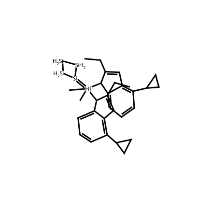 CCC1=Cc2c(C3CC3)cccc2[CH]1[Hf]([CH3])([CH3])([CH]1C(CC)=Cc2c(C3CC3)cccc21)=[Si]1[SiH2][SiH2][SiH2]1